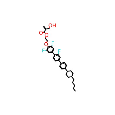 C=C(CO)C(=O)OCCOc1c(F)cc(-c2ccc(-c3ccc(C4CCC(CCCCC)CC4)cc3)cc2F)cc1F